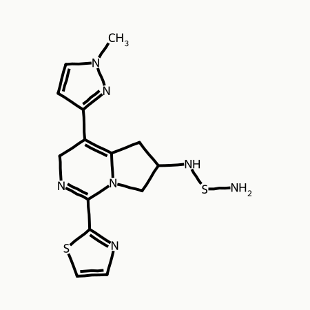 Cn1ccc(C2=C3CC(NSN)CN3C(c3nccs3)=NC2)n1